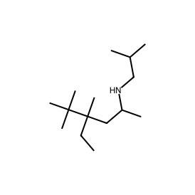 CCC(C)(CC(C)NCC(C)C)C(C)(C)C